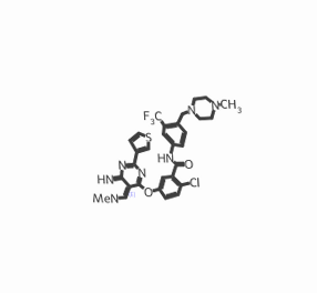 CN/C=C1\C(=N)N=C(c2ccsc2)N=C1Oc1ccc(Cl)c(C(=O)Nc2ccc(CN3CCN(C)CC3)c(C(F)(F)F)c2)c1